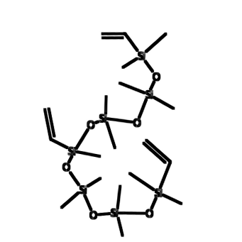 C=C[Si](C)(C)O[Si](C)(C)O[Si](C)(C)O[Si](C)(C=C)O[Si](C)(C)O[Si](C)(C)O[Si](C)(C)C=C